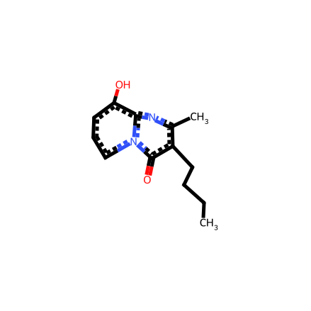 CCCCc1c(C)nc2c(O)cccn2c1=O